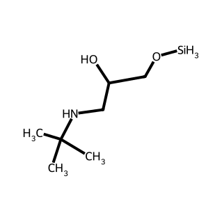 CC(C)(C)NCC(O)CO[SiH3]